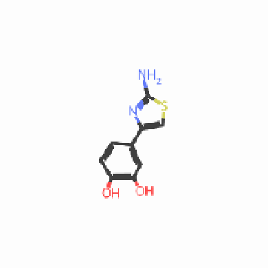 Nc1nc(-c2ccc(O)c(O)c2)cs1